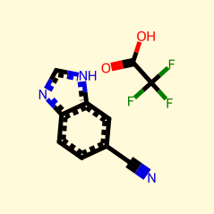 N#Cc1ccc2nc[nH]c2c1.O=C(O)C(F)(F)F